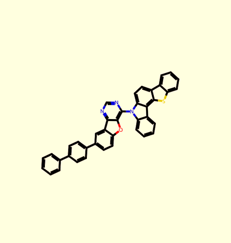 c1ccc(-c2ccc(-c3ccc4oc5c(-n6c7ccccc7c7c8sc9ccccc9c8ccc76)ncnc5c4c3)cc2)cc1